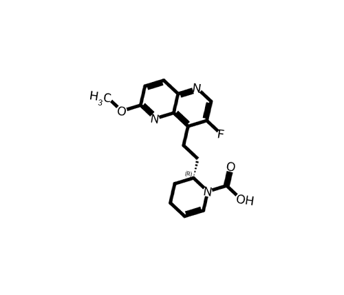 COc1ccc2ncc(F)c(CC[C@H]3CCC=CN3C(=O)O)c2n1